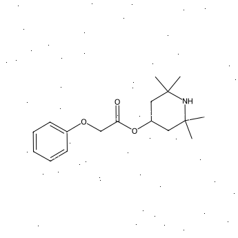 CC1(C)CC(OC(=O)COc2ccccc2)CC(C)(C)N1